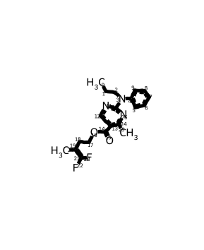 CCCN(c1ccccc1)c1ncc(C(=O)OCCC(C)=C(F)F)c(C)n1